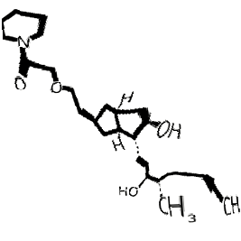 CC#CC[C@H](C)[C@@H](O)/C=C/[C@@H]1[C@H]2CC(=CCOCC(=O)N3CCCCC3)C[C@H]2C[C@H]1O